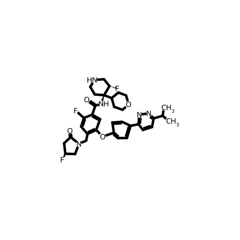 CC(C)c1ccc(-c2ccc(Oc3cc(C(=O)N[C@@]4(C5CCOCC5)CCNC[C@@H]4F)c(F)cc3CN3C[C@@H](F)CC3=O)cc2)nn1